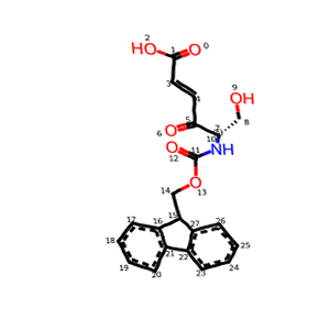 O=C(O)C=CC(=O)[C@H](CO)NC(=O)OCC1c2ccccc2-c2ccccc21